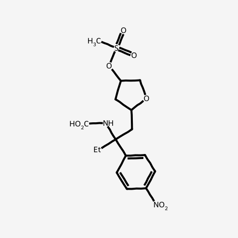 CCC(CC1CC(OS(C)(=O)=O)CO1)(NC(=O)O)c1ccc([N+](=O)[O-])cc1